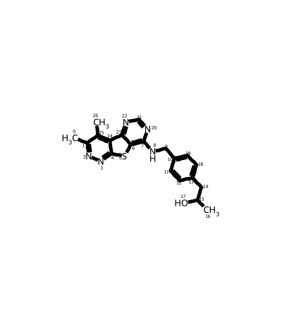 Cc1nnc2sc3c(NCc4ccc(CC(C)O)cc4)ncnc3c2c1C